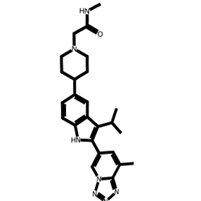 CNC(=O)CN1CCC(c2ccc3[nH]c(-c4cc(C)c5nnnn5c4)c(C(C)C)c3c2)CC1